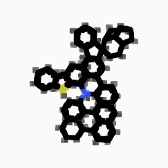 c1ccc(N(c2ccccc2-c2cccc3cccc(C4CCCCC4)c23)c2cccc3c2sc2ccccc23)c(-c2ccc3c(c2)C2(CCC4CC5CC4C2C5)c2ccccc2-3)c1